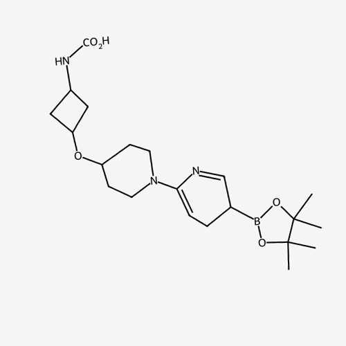 CC1(C)OB(C2C=NC(N3CCC(OC4CC(NC(=O)O)C4)CC3)=CC2)OC1(C)C